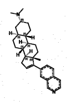 CN(C)[C@@H]1CC[C@H]2[C@@H](CC[C@@H]3[C@@H]2CC[C@]2(C)C(c4ccc5ccncc5c4)=CC[C@@H]32)C1